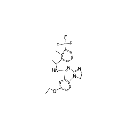 CCOc1ccc2c(c1)C(NC(C)c1cccc(C(F)(F)F)c1C)=NC1=NCCN12